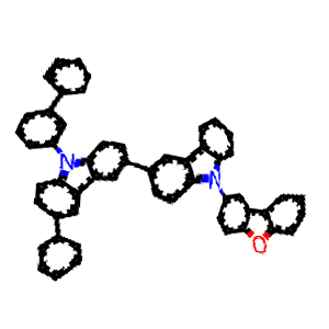 c1ccc(-c2cccc(-n3c4ccc(-c5ccccc5)cc4c4cc(-c5ccc6c(c5)c5ccccc5n6-c5ccc6oc7ccccc7c6c5)ccc43)c2)cc1